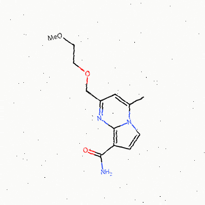 COCCOCc1cc(C)n2ccc(C(N)=O)c2n1